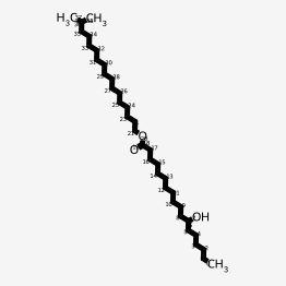 CCCCCCC(O)CCCCCCCCCCC(=O)OCCCCCCCCCCCCCCCC(C)C